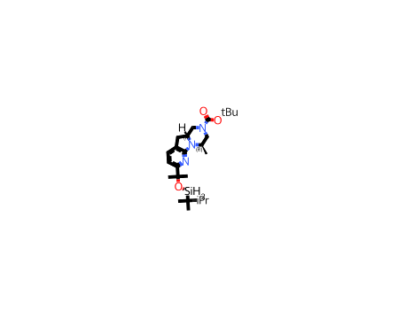 CC(C)C(C)(C)[SiH2]OC(C)(C)c1ccc2c(n1)N1[C@H](C2)CN(C(=O)OC(C)(C)C)C[C@H]1C